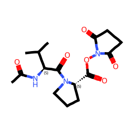 CC(=O)N[C@H](C(=O)N1CCC[C@H]1C(=O)ON1C(=O)CCC1=O)C(C)C